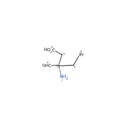 CC(C)CC(N)(C=O)CC(=O)O